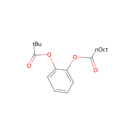 CCCCCCCCC(=O)Oc1ccccc1OC(=O)C(C)(C)C